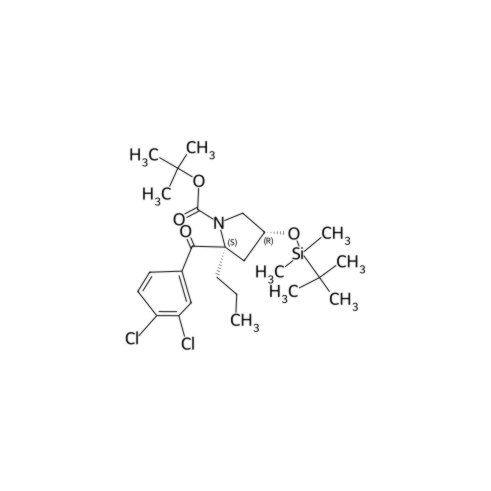 CCC[C@@]1(C(=O)c2ccc(Cl)c(Cl)c2)C[C@@H](O[Si](C)(C)C(C)(C)C)CN1C(=O)OC(C)(C)C